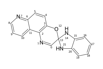 C1=Nc2c(ccc3ncccc23)OC12Nc1ccccc1N2